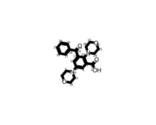 O=C(O)c1cc(N2CCOCC2)cc(C(=O)c2ccccc2)c1N1CCOCC1